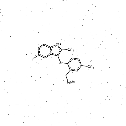 CNCc1cc(C)ccc1Sc1c(C)[nH]c2ccc(F)cc12